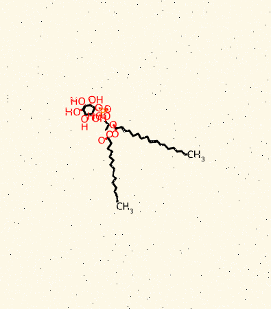 CCCCCCCCC=CCCCCCC=CC(=O)OC(COC(=O)CCCCCCCCCCCCCCC)COP(=O)(O)OC1C(O)C(O)C(O)C(O)C1O